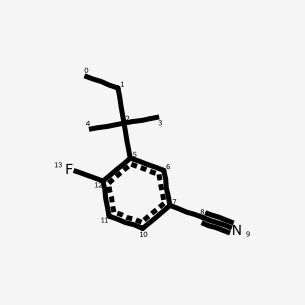 CCC(C)(C)c1cc(C#N)ccc1F